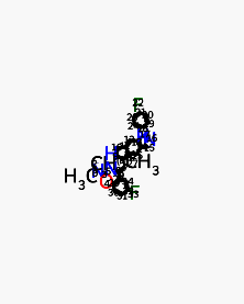 CN(C)C(=O)NC(C[C@H]1CCC2=Cc3c(cnn3-c3ccc(F)cc3)C[C@@]21C)c1cccc(F)c1